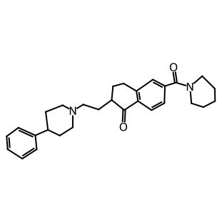 O=C1c2ccc(C(=O)N3CCCCC3)cc2CCC1CCN1CCC(c2ccccc2)CC1